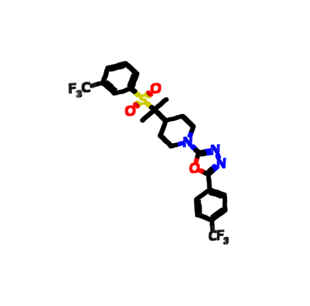 CC(C)(C1CCN(c2nnc(-c3ccc(C(F)(F)F)cc3)o2)CC1)S(=O)(=O)c1cccc(C(F)(F)F)c1